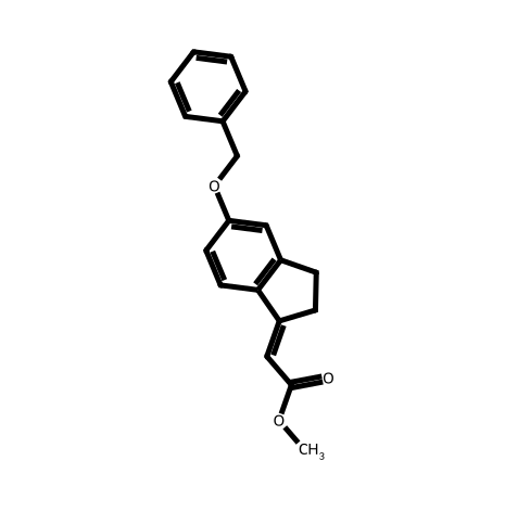 COC(=O)C=C1CCc2cc(OCc3ccccc3)ccc21